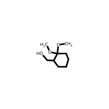 COC1(OC)CCCCC1CO